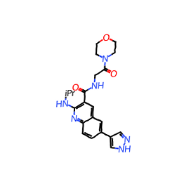 CC(C)Nc1nc2ccc(-c3cn[nH]c3)cc2cc1C(=O)NCC(=O)N1CCOCC1